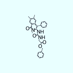 Cc1cc2c(-c3ccccc3)c(NC(=O)NCC(=O)OCc3ccccc3)n(C)c(=O)c2cc1C